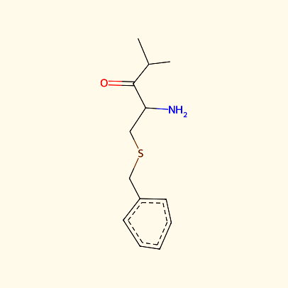 CC(C)C(=O)C(N)CSCc1ccccc1